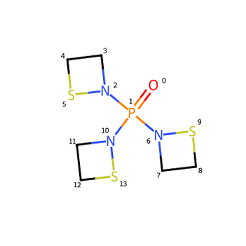 O=P(N1CCS1)(N1CCS1)N1CCS1